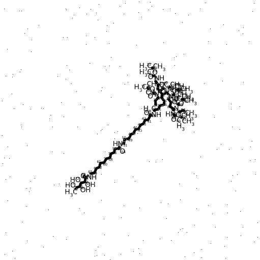 CCCCN(C(=O)OC(C)(C)C)C(CCCNC(=O)OC(C)(C)C)(C(=O)OC(C)(C)C)C(CCCCCCNC(=O)CCCCCCCCCCCNC(=O)CCCCCCCCCCCNC(=O)[C@H](O)[C@@H](O)[C@H](O)[C@@H](C)O)CN(CCCC(NC(=O)OC(C)(C)C)N(CCC)C(=O)OC(C)(C)C)C(=O)OC(C)(C)C